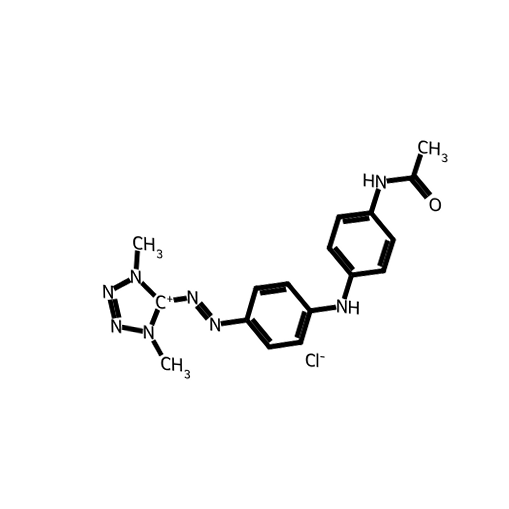 CC(=O)Nc1ccc(Nc2ccc(N=N[c+]3n(C)nnn3C)cc2)cc1.[Cl-]